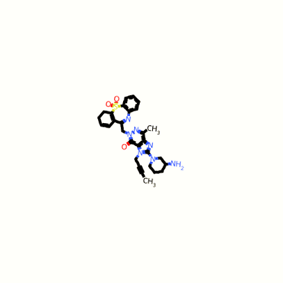 CC#CCn1c(N2CCCC(N)C2)nc2c(C)nn(CC3=Nc4ccccc4S(=O)(=O)C4=C3C=CCC4)c(=O)c21